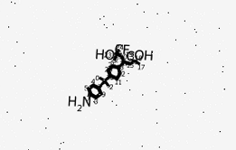 CC(C)(c1ccc(N)cc1)c1ccc(/C(=C/C(C)(O)C(F)(F)F)CC(C)(O)C(F)(F)F)cc1